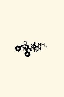 Cc1nn(C(C)c2cc(=O)n(Cc3ccccc3)nc2-c2ccccc2)c2ncnc(N)c12